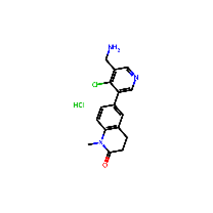 CN1C(=O)CCc2cc(-c3cncc(CN)c3Cl)ccc21.Cl